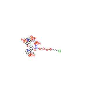 CC1(CCCCS(=O)(=O)O)C(C=CC2=C(Oc3ccc(S(=O)(=O)O)cc3)C(=CC=C3N4CCCc5ccc(S(=O)(=O)O)c(c54)C3(C)CCCCCC(=O)NCCOCCOCCOCCOCCCCCCCl)CCC2)=CN2CCc3ccc(S(=O)(=O)O)c1c32